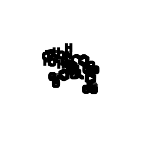 CC(C)CN(C[C@@H](O)[C@H](Cc1ccc(OS(=O)(=O)c2ccc([N+](=O)[O-])cc2)cc1)NC(=O)OC1CO[C@H]2OCC[C@@H]12)S(=O)(=O)c1ccc([N+](=O)[O-])cc1